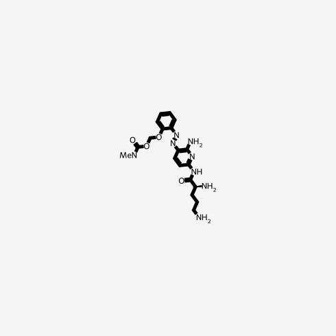 CNC(=O)OCOc1ccccc1/N=N/c1ccc(NC(=O)[C@@H](N)CCCN)nc1N